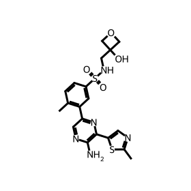 Cc1ncc(-c2nc(-c3cc(S(=O)(=O)NCC4(O)COC4)ccc3C)cnc2N)s1